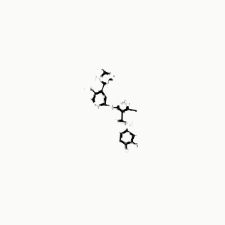 Cc1noc(-c2cc(Nc3snc(C)c3C(=O)Nc3ccc(F)c(F)c3)ncc2Cl)n1